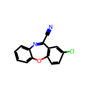 N#CC1=Nc2ccccc2Oc2ccc(Cl)cc21